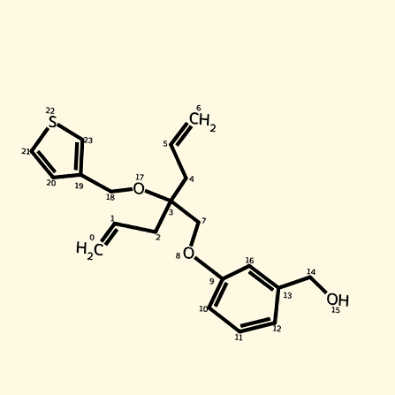 C=CCC(CC=C)(COc1cccc(CO)c1)OCc1ccsc1